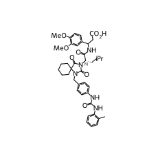 COc1ccc(C(CC(=O)O)NC(=O)[C@H](CC(C)C)N2C(=O)N(Cc3ccc(NC(=O)Nc4ccccc4C)cc3)C3(CCCCC3)C2=O)cc1OC